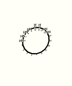 C1CCCCCNNNNNNNNCCCC1